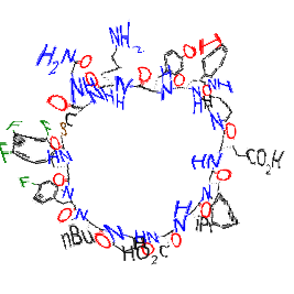 CCCC[C@H]1C(=O)N2CCC[C@@H]2C(=O)N[C@@H](CC(=O)O)C(=O)N[C@@H](C(C)C)C(=O)N(C)[C@@H](Cc2ccccc2)C(=O)N[C@@H](CCC(=O)O)C(=O)N2CCCC[C@@H]2C(=O)N[C@@H](Cc2c[nH]c3ccccc23)C(=O)N[C@@H](Cc2ccc(O)cc2)C(=O)N[C@@H](CCCCN)C(=O)N[C@H](C(=O)NCC(N)=O)CSCC(=O)N[C@@H](Cc2cc(F)c(F)c(F)c2)C(=O)N(C)C(Cc2ccc(F)cc2)C(=O)N1C